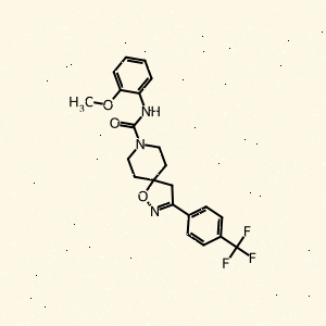 COc1ccccc1NC(=O)N1CCC2(CC1)CC(c1ccc(C(F)(F)F)cc1)=NO2